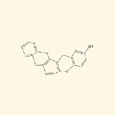 Oc1ccc2c(c1)Cc1c(ccc3c1Oc1ccccc1C3)O2